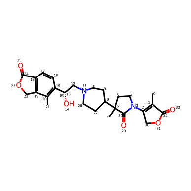 CC1=C(N2CCC(C)(C3CCN(C[C@H](O)c4ccc5c(c4C)COC5=O)CC3)C2=O)COC1=O